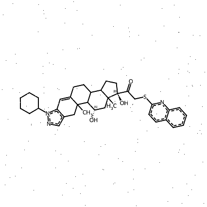 CC12Cc3cnn(C4CCCCC4)c3C=C1CCC1C2[C@@H](O)CC2(C)C1CC[C@]2(O)C(=O)CSc1ccc2ccccc2n1